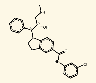 CNC[C@H](O)[C@H](c1ccccc1)N1CCc2cc(C(=O)Nc3cccc(Cl)c3)ccc21